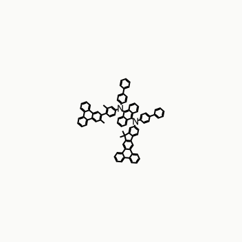 Cc1cc(N(c2ccc(-c3ccccc3)cc2)c2c3ccccc3c(N(c3ccc(-c4ccccc4)cc3)c3ccc4c(c3)C(C)(C)c3cc5c6ccccc6c6ccccc6c5cc3-4)c3ccccc23)ccc1-c1cc2c3ccccc3c3ccccc3c2cc1C